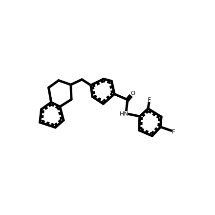 O=C(Nc1ccc(F)cc1F)c1ccc(CC2CCc3ccccc3C2)cc1